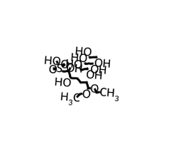 CCOC(CCCC(O)C(O)CS(=O)(=O)O)OCC.OCCO.OCCO.OCCO